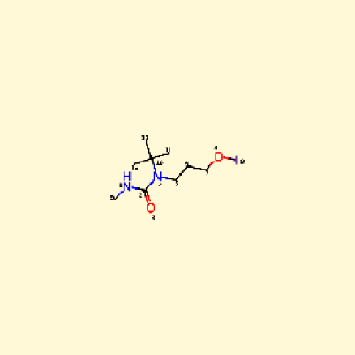 CNC(=O)N(CCCOI)C(C)(C)C